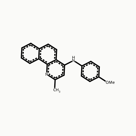 COc1ccc(Nc2cc(C)nc3c2ccc2ccccc23)cc1